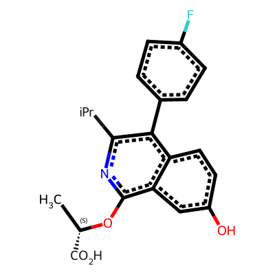 CC(C)c1nc(O[C@@H](C)C(=O)O)c2cc(O)ccc2c1-c1ccc(F)cc1